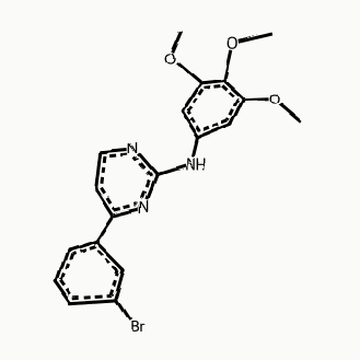 COc1cc(Nc2nccc(-c3cccc(Br)c3)n2)cc(OC)c1OC